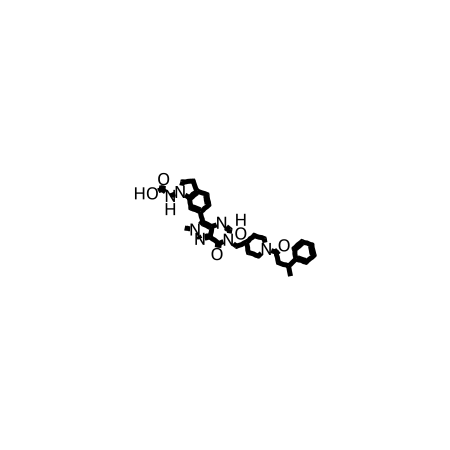 CC(CC(=O)N1CCC(O)(Cn2cnc3c(-c4ccc5c(c4)N(NC(=O)O)CC5)n(C)nc3c2=O)CC1)c1ccccc1